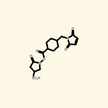 O=C(ON1CC(S(=O)(=O)O)CC1=O)C1CCC(CN2C(=O)C=CC2=O)CC1